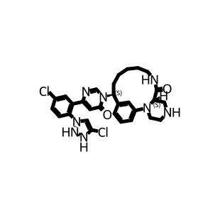 O=C1NCCCCC[C@H](n2cnc(-c3cc(Cl)ccc3N3C=C(Cl)NN3)cc2=O)c2cccc(c2)N2CCNC[C@@H]12